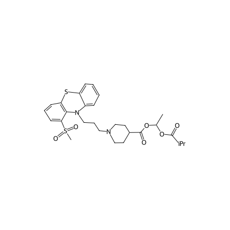 CC(OC(=O)C(C)C)OC(=O)C1CCN(CCCN2c3ccccc3Sc3cccc(S(C)(=O)=O)c32)CC1